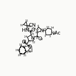 CC(=O)N1CCC(N2CCC2C(=O)N2CC(S(=O)(=O)c3ccccc3Cl)CC2C(=O)NC2(C#N)CC2)CC1